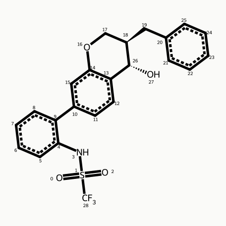 O=S(=O)(Nc1ccccc1-c1ccc2c(c1)OC[C@@H](Cc1ccccc1)[C@@H]2O)C(F)(F)F